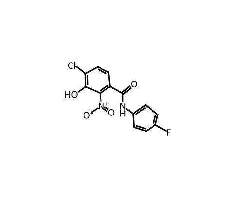 O=C(Nc1ccc(F)cc1)c1ccc(Cl)c(O)c1[N+](=O)[O-]